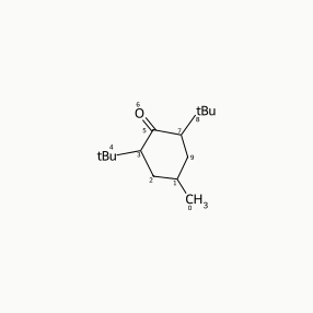 CC1CC(C(C)(C)C)C(=O)C(C(C)(C)C)C1